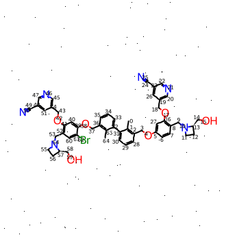 Cc1c(COc2ccc(CN3CC[C@@H]3CO)c(OCc3cncc(C#N)c3)c2)cccc1-c1cccc(COc2cc(OCc3cncc(C#N)c3)c(CN3CC[C@@H]3CO)cc2Br)c1C